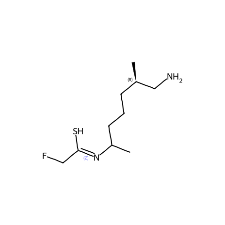 CC(CCC[C@@H](C)CN)/N=C(\S)CF